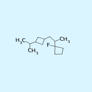 CC(C)C1CC(CC(C)C2(F)CCC2)C1